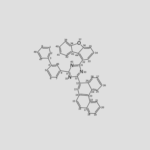 c1ccc(-c2cccc(-c3nc(-c4cc5ccc6ccccc6c5c5ccccc45)nc(-c4cccc5oc6ccccc6c45)n3)c2)cc1